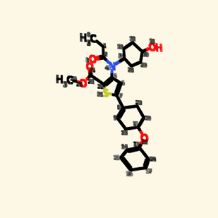 CCC(=O)N(c1cc(C2=CCC(Oc3ccccc3)CC2)sc1C(=O)OC)C1CCC(O)CC1